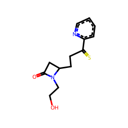 O=C1CC(CCC(=S)c2ccccn2)N1CCO